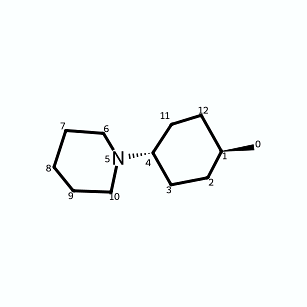 C[C@H]1CC[C@H](N2CCCCC2)CC1